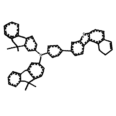 CC1(C)c2ccccc2-c2cc(N(c3ccc(-c4ccc5c(c4)sc4ccc6c(c45)CCC=C6)cc3)c3ccc4c(c3)C(C)(C)c3ccccc3-4)ccc21